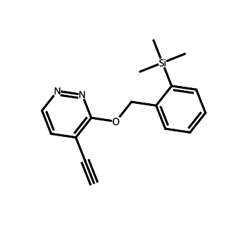 C#Cc1ccnnc1OCc1ccccc1[Si](C)(C)C